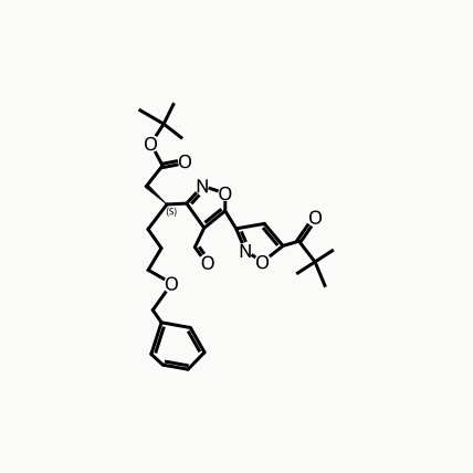 CC(C)(C)OC(=O)C[C@H](CCCOCc1ccccc1)c1noc(-c2cc(C(=O)C(C)(C)C)on2)c1C=O